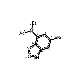 CCN(C(C)=O)c1cc(Br)cc2nonc12